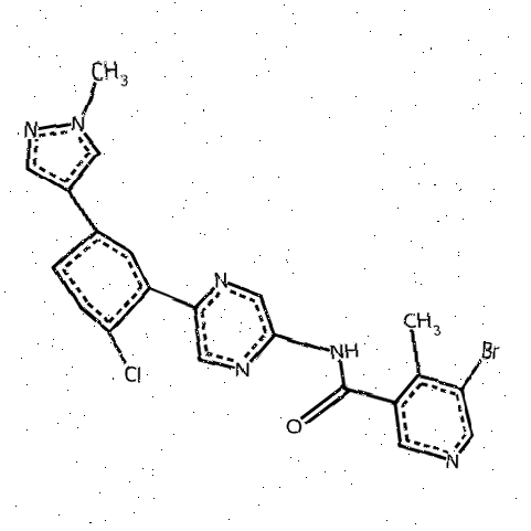 Cc1c(Br)cncc1C(=O)Nc1cnc(-c2cc(-c3cnn(C)c3)ccc2Cl)cn1